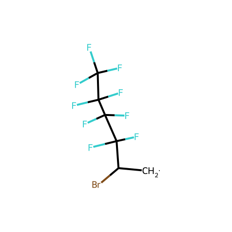 [CH2]C(Br)C(F)(F)C(F)(F)C(F)(F)C(F)(F)F